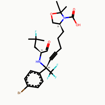 CC(C)(F)C[C@@H](C=O)N[C@@](C#CCCC[C@H]1COC(C)(C)N1C(=O)O)(c1ccc(Br)cc1)C(F)(F)F